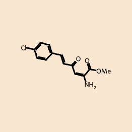 COC(=O)/C(N)=C\C(=O)/C=C/c1ccc(Cl)cc1